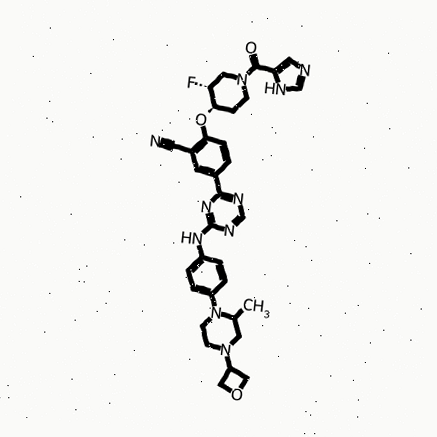 CC1CN(C2COC2)CCN1c1ccc(Nc2ncnc(-c3ccc(O[C@H]4CCN(C(=O)c5cnc[nH]5)C[C@H]4F)c(C#N)c3)n2)cc1